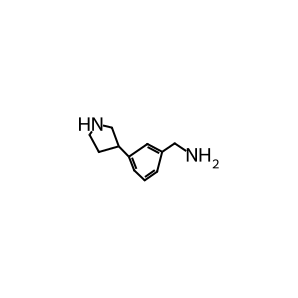 NCc1cccc(C2CCNC2)c1